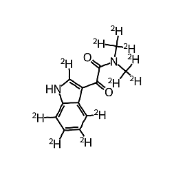 [2H]c1[nH]c2c([2H])c([2H])c([2H])c([2H])c2c1C(=O)C(=O)N(C([2H])([2H])[2H])C([2H])([2H])[2H]